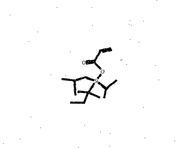 C=CC(=O)O[Si](CC(C)C)(C(C)C)C(C)(C)CC